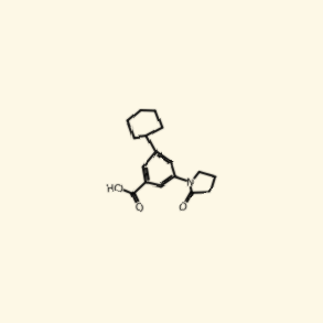 O=C(O)c1cc(C2CCCCC2)cc(N2CCCC2=O)c1